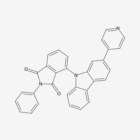 O=C1c2cccc(-n3c4ccccc4c4ccc(-c5ccncc5)cc43)c2C(=O)N1c1ccccc1